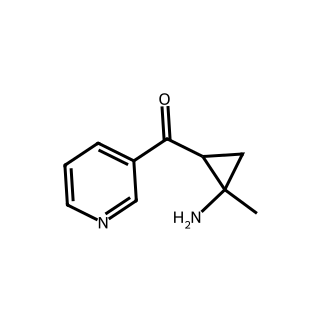 CC1(N)CC1C(=O)c1cccnc1